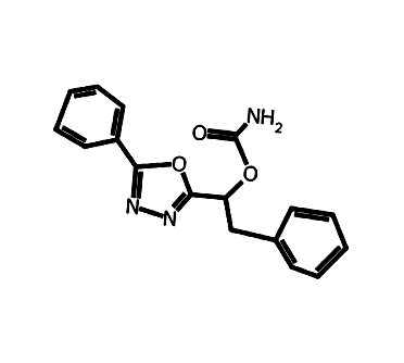 NC(=O)OC(Cc1ccccc1)c1nnc(-c2ccccc2)o1